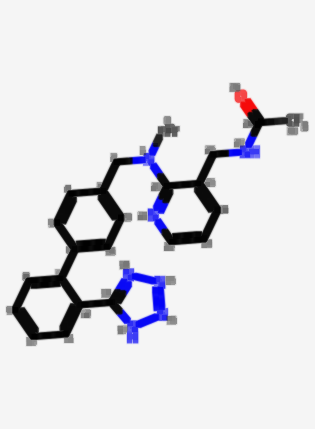 CCCN(Cc1ccc(-c2ccccc2-c2nnn[nH]2)cc1)c1ncccc1CNC(=O)C(F)(F)F